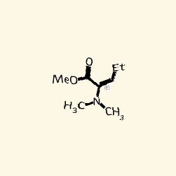 CC/C=C(\C(=O)OC)N(C)C